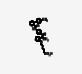 Cc1ccc(-c2ccccc2C(=O)Nc2ccc(C(=O)N(C)c3ccccc3SCCCCCC(=O)O)cc2)cc1